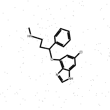 CNCCC(Oc1cc(Cl)cc2[nH]cnc12)c1ccccc1